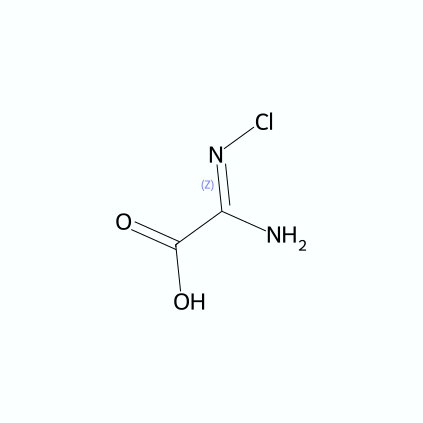 N/C(=N\Cl)C(=O)O